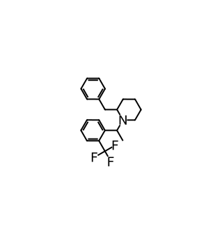 CC(c1ccccc1C(F)(F)F)N1CCCCC1Cc1ccccc1